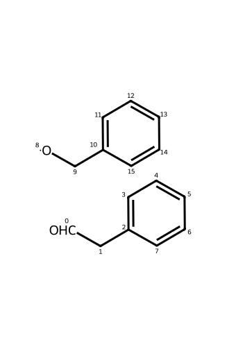 O=CCc1ccccc1.[O]Cc1ccccc1